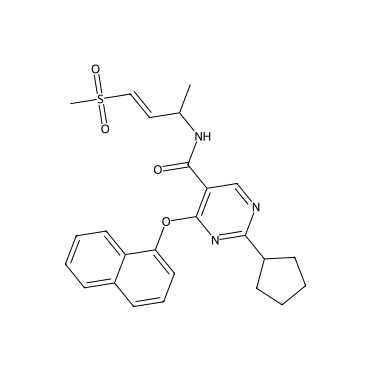 CC(/C=C/S(C)(=O)=O)NC(=O)c1cnc(C2CCCC2)nc1Oc1cccc2ccccc12